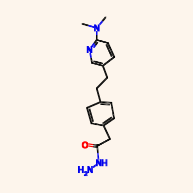 CN(C)c1ccc(CCc2ccc(CC(=O)NN)cc2)cn1